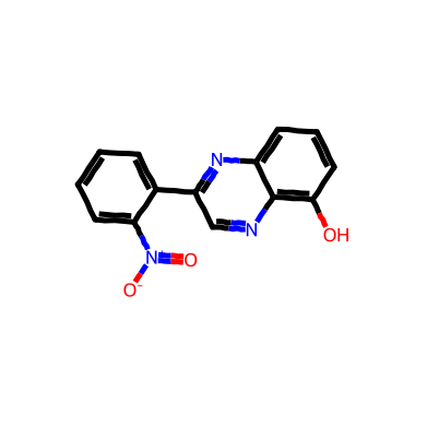 O=[N+]([O-])c1ccccc1-c1cnc2c(O)cccc2n1